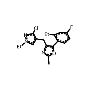 CCc1cc(F)ccc1-c1oc(C)nc1Cc1cn(CC)nc1Cl